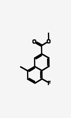 COC(=O)c1ccc2c(F)ccc(C)c2c1